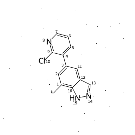 Cc1cc(-c2cccnc2Cl)cc2cn[nH]c12